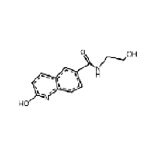 O=C(NCCO)c1ccc2nc(O)ccc2c1